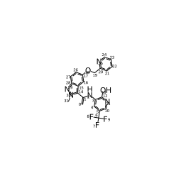 C=C(Nc1cc(C(F)(F)F)cnc1O)c1c2cc(OCc3ccccn3)ccc2nn1C